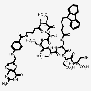 CC[C@H](NC(=O)[C@H](CC(=O)O)NC(=O)CCCNC(=O)c1ccc(NCc2cnc3nc(N)[nH]c(=O)c3n2)cc1)C(=O)N[C@@H](CC(=O)O)C(=O)N[C@@H](CC(=O)O)C(=O)N[C@@H](CNC(=O)CCSCC1c2ccccc2-c2ccccc21)C(=O)N[C@@H](CC(=O)O)C(=O)N[C@@H](CS)C(=O)O